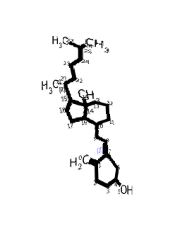 C=C1CCC(O)C/C1=C/CC1CCCC2(C)C1CCC2[C@H](C)CCCC(C)C